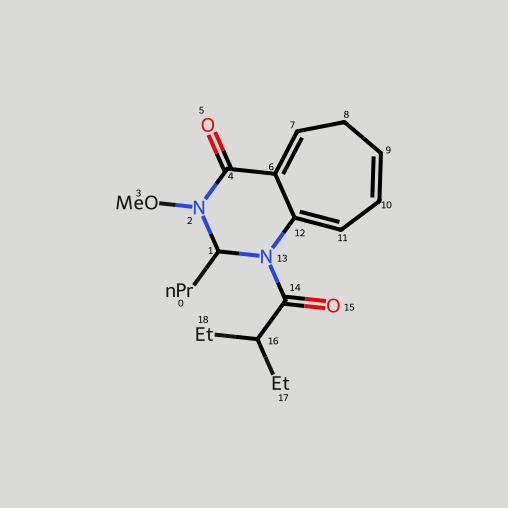 CCCC1N(OC)C(=O)C2=CCC=CC=C2N1C(=O)C(CC)CC